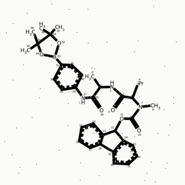 CC(NC(=O)C(C(C)C)N(C)C(=O)OC1c2ccccc2-c2ccccc21)C(=O)Nc1ccc(B2OC(C)(C)C(C)(C)O2)cc1